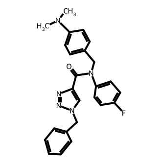 CN(C)c1ccc(CN(C(=O)c2cn(Cc3ccccc3)nn2)c2ccc(F)cc2)cc1